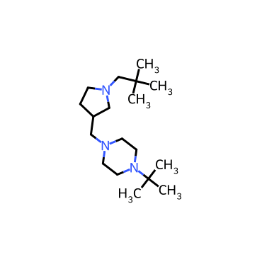 CC(C)(C)CN1CCC(CN2CCN(C(C)(C)C)CC2)C1